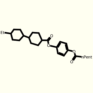 CCCCCC(=O)Oc1ccc(OC(=O)C2CCC(C3CCC(CC)CC3)CC2)cc1